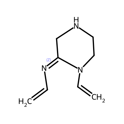 C=C/N=C1/CNCCN1C=C